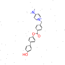 CN(C)c1cc[n+](Cc2ccc(C(=O)Oc3ccc(-c4ccc(O)cc4)cc3)cc2)cc1